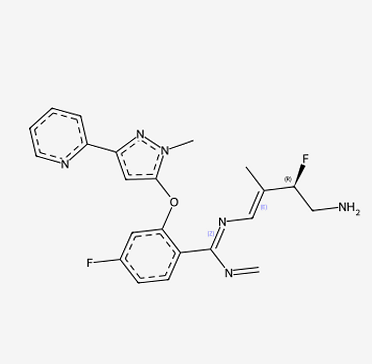 C=N/C(=N\C=C(/C)[C@@H](F)CN)c1ccc(F)cc1Oc1cc(-c2ccccn2)nn1C